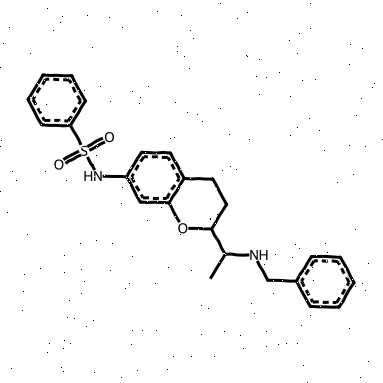 CC(NCc1ccccc1)C1CCc2ccc(NS(=O)(=O)c3ccccc3)cc2O1